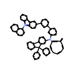 C=C1/C=C\C=C/C/C=C\C(N(c2cccc(-c3cccc(-c4ccc5c(c4)c4ccccc4n5-c4cccc5ccccc45)c3)c2)c2ccc3c(c2)C(c2ccccc2)(c2ccccc2)c2ccccc2-3)=C/1